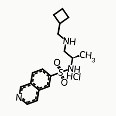 C[C@H](CNCC1CCC1)NS(=O)(=O)c1ccc2cnccc2c1.Cl